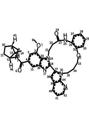 COc1cc(C(=O)N2C[C@H]3CC[C@@H]2[C@@H]3C)cc2nc3n(c12)CCC(=O)Nc1ccccc1OCCCn1c-3cc2cccnc21